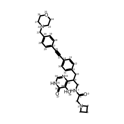 O=C(CN1CCC1)NCC(Cc1ccc(C#Cc2ccc(CN3CCOCC3)cc2)cc1)c1nc[nH]c(=O)c1O